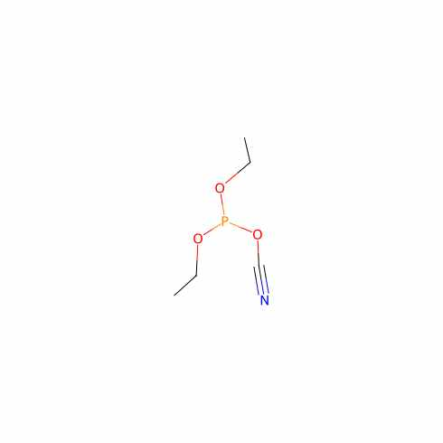 CCOP(OC#N)OCC